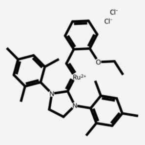 CCOc1ccccc1[CH]=[Ru+2]=[C]1N(c2c(C)cc(C)cc2C)CCN1c1c(C)cc(C)cc1C.[Cl-].[Cl-]